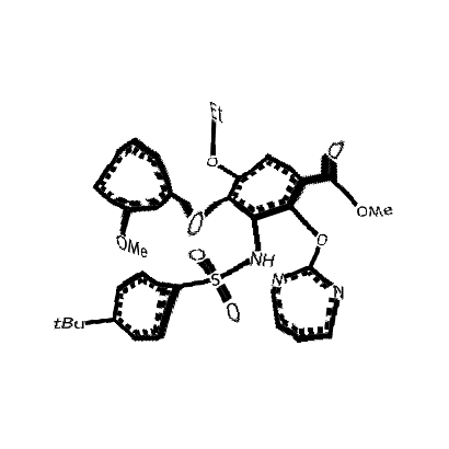 CCOc1cc(C(=O)OC)c(Oc2ncccn2)c(NS(=O)(=O)c2ccc(C(C)(C)C)cc2)c1Oc1ccccc1OC